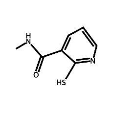 CNC(=O)c1cccnc1S